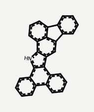 c1ccc2c(c1)-c1cccc3c1c-2cc1c3[nH]c2c3ccccc3c3ccccc3c12